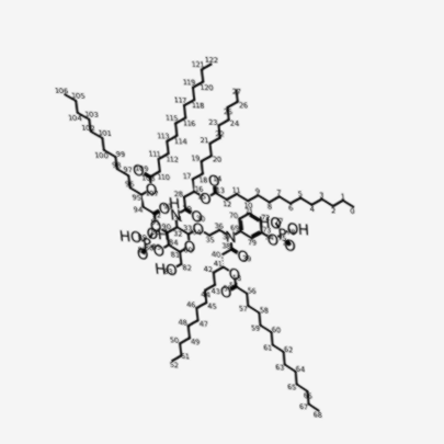 CCCCCCCCCCCCCC(=O)O[C@H](CCCCCCCCCCC)CC(=O)NC1C(OCCN(C(=O)C[C@@H](CCCCCCCCCCC)OC(=O)CCCCCCCCCCCCC)c2cccc(OP(=O)(O)O)c2)OC(CO)C(OP(=O)(O)O)C1OC(=O)C[C@@H](CCCCCCCCCCC)OC(=O)CCCCCCCCCCCCC